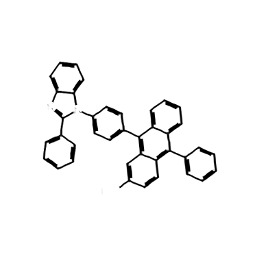 Cc1ccc2c(-c3ccccc3)c3ccccc3c(-c3ccc(-n4c(-c5ccccc5)nc5ccccc54)cc3)c2c1